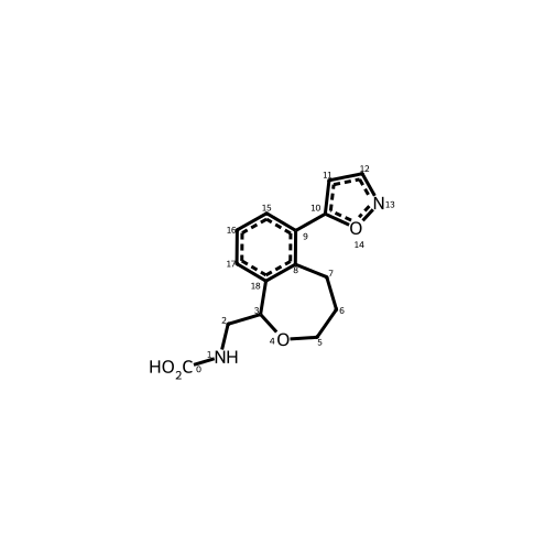 O=C(O)NCC1OCCCc2c(-c3ccno3)cccc21